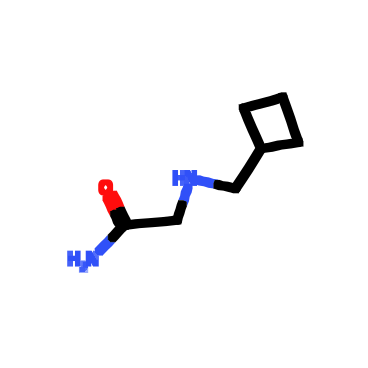 NC(=O)CNCC1CCC1